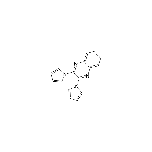 c1ccc2nc(-n3cccc3)c(-n3cccc3)nc2c1